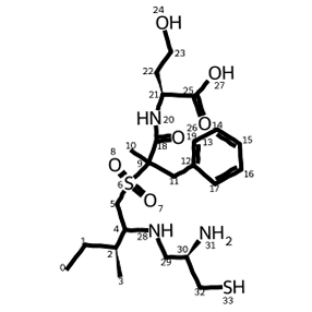 CC[C@H](C)C(CS(=O)(=O)C(C)(Cc1ccccc1)C(=O)N[C@@H](CCO)C(=O)O)NC[C@@H](N)CS